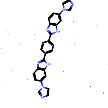 c1cn(-c2ccc3nc(-c4ccc(-c5nc6ccc(-n7ccnc7)cc6[nH]5)cc4)[nH]c3c2)cn1